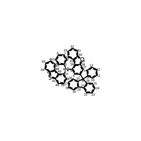 c1ccc(N(c2cc(C3(c4ccccc4)c4ccccc4-c4ccccc43)cc3oc4ccccc4c23)c2cccc3sc4ccccc4c23)cc1